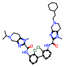 CC(C)N1CCc2c(nc(C(=O)Nc3cccc(-c4cccc(NC(=O)c5nc6c(n5C)CCN(CCC5CCCCC5)C6)c4Cl)c3Cl)n2C)C1